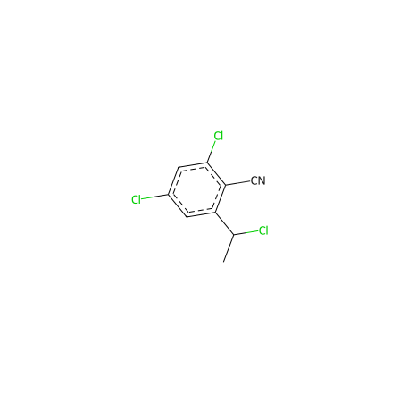 CC(Cl)c1cc(Cl)cc(Cl)c1C#N